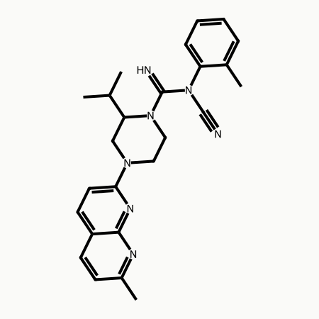 Cc1ccc2ccc(N3CCN(C(=N)N(C#N)c4ccccc4C)C(C(C)C)C3)nc2n1